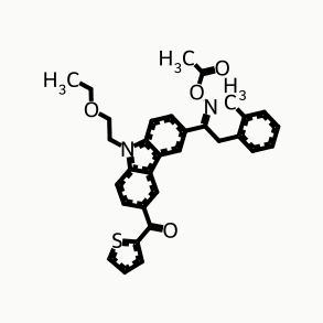 CCOCCn1c2ccc(C(=O)c3cccs3)cc2c2cc(C(Cc3ccccc3C)=NOC(C)=O)ccc21